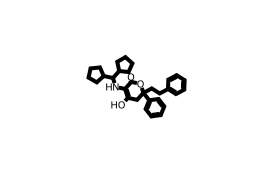 O=C1OC(CCc2ccccc2)(c2ccccc2)CC(O)=C1NC(C1CCCC1)C1CCCC1